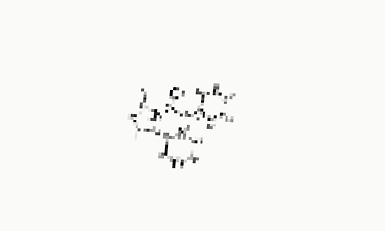 CC1CCCN1C(=O)C(c1ccccc1)N1CCOCC1